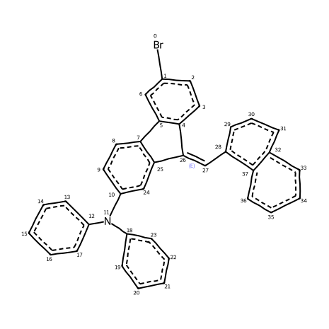 Brc1ccc2c(c1)-c1ccc(N(c3ccccc3)c3ccccc3)cc1/C2=C/c1cccc2ccccc12